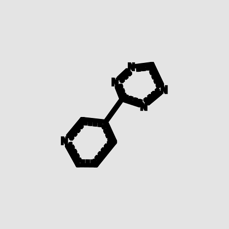 c1cncc(-c2nncnn2)c1